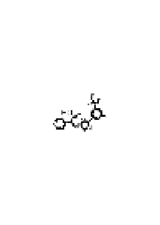 Cc1cc(-c2ncn(C=C(C(=O)O)c3ccncc3)n2)cc(C(F)(F)F)c1